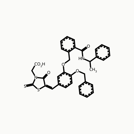 CC(NC(=O)c1ccccc1COc1cc(C=C2SC(=S)N(CC(=O)O)C2=O)ccc1OCc1ccccc1)c1ccccc1